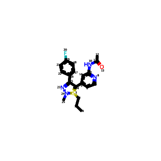 CCCS1=C(c2ccnc(NC(C)=O)c2)C(c2ccc(F)cc2)=NN1C